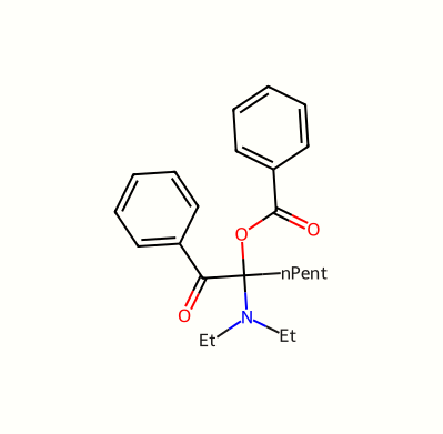 CCCCCC(OC(=O)c1ccccc1)(C(=O)c1ccccc1)N(CC)CC